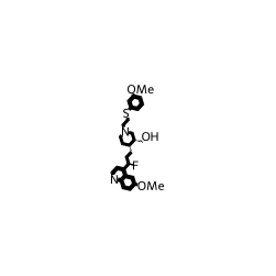 COc1cccc(SCCN2CC[C@@H](CC[C@@H](F)c3ccnc4ccc(OC)cc34)[C@@H](CO)C2)c1